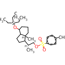 CC[Si](CC)(CC)OC1CCC[C@@]2(C)C1CCC2[C@@H](C)COS(=O)(=O)c1ccc(C)cc1